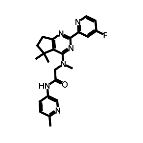 Cc1ccc(NC(=O)CN(C)c2nc(-c3cc(F)ccn3)nc3c2C(C)(C)CC3)cn1